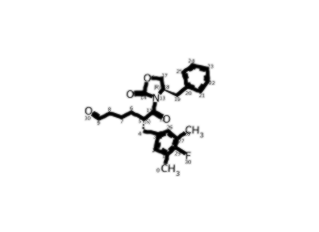 Cc1cc(C[C@H](CCCC=O)C(=O)N2C(=O)OC[C@H]2Cc2ccccc2)cc(C)c1F